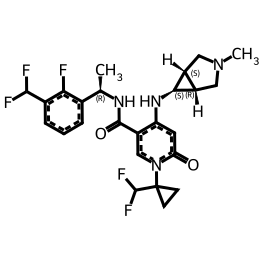 C[C@@H](NC(=O)c1cn(C2(C(F)F)CC2)c(=O)cc1N[C@H]1[C@@H]2CN(C)C[C@@H]21)c1cccc(C(F)F)c1F